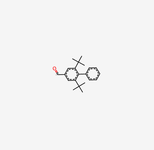 CC(C)(C)c1cc([C]=O)cc(C(C)(C)C)c1-c1ccccc1